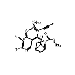 CC#Cc1c(SC)nc2c(F)c(Cl)ncc2c1NC1C2CC1N(C(=O)OC(C)(C)C)C2